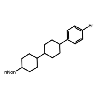 CCCCCCCCCC1CCC(C2CCC(c3ccc(Br)cc3)CC2)CC1